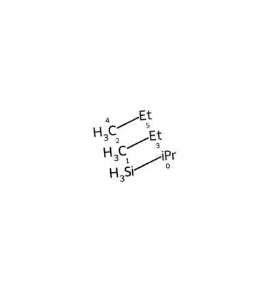 CC(C)[SiH3].CCC.CCC